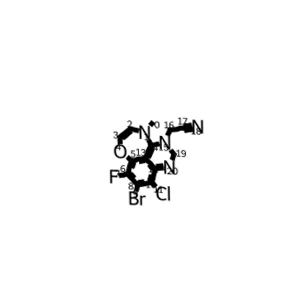 CN1C=COc2c(F)c(Br)c(Cl)c3c2=C1N(CC#N)CN=3